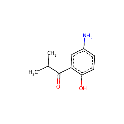 CC(C)C(=O)c1cc(N)ccc1O